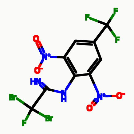 N=C(Nc1c([N+](=O)[O-])cc(C(F)(F)F)cc1[N+](=O)[O-])C(F)(Br)Br